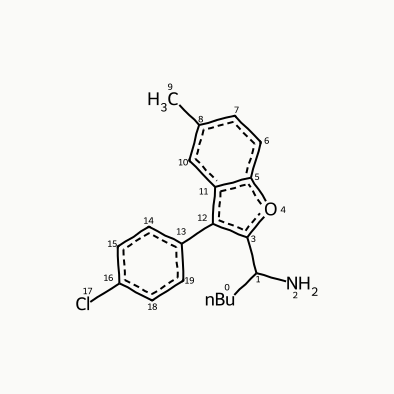 CCCCC(N)c1oc2ccc(C)cc2c1-c1ccc(Cl)cc1